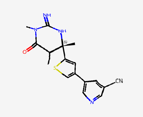 CC1C(=O)N(C)C(=N)N[C@]1(C)c1cc(-c2cncc(C#N)c2)cs1